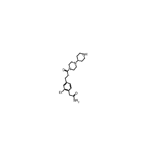 CCc1cc(C[CH]C(=O)N2CCN(C3CCNCC3)CC2)ccc1CC(N)=O